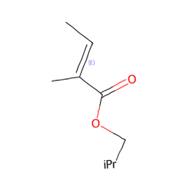 C/C=C(\C)C(=O)OCC(C)C